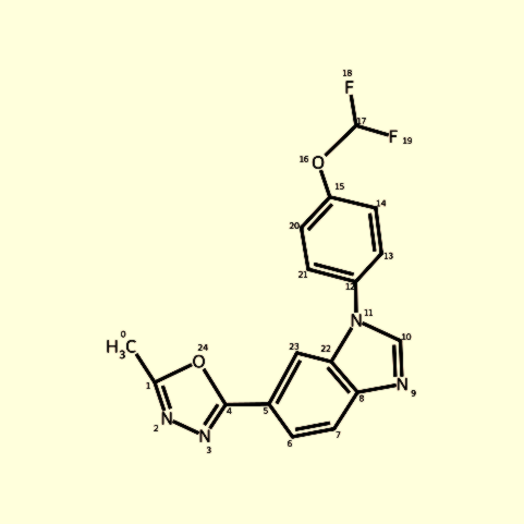 Cc1nnc(-c2ccc3ncn(-c4ccc(OC(F)F)cc4)c3c2)o1